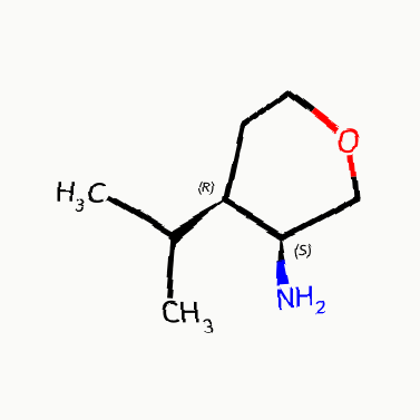 CC(C)[C@H]1CCOC[C@H]1N